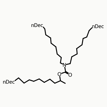 CCCCCCCCCCCCCCCCCCC(C)OC(=O)N(CCCCCCCCCCCCCCCCCC)CCCCCCCCCCCCCCCCCC